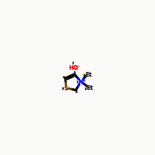 CC[N+]1(CC)C=CSC1.[OH-]